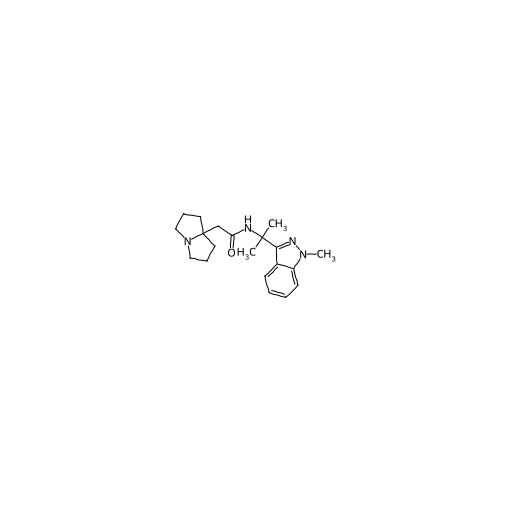 Cn1nc(C(C)(C)NC(=O)CC23CCCN2CCC3)c2ccccc21